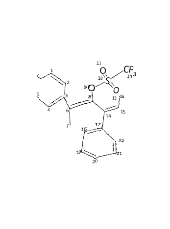 C\C=C/C(=C\C)C(/C)=C(OS(=O)(=O)C(F)(F)F)/C(=C\C)c1ccccc1